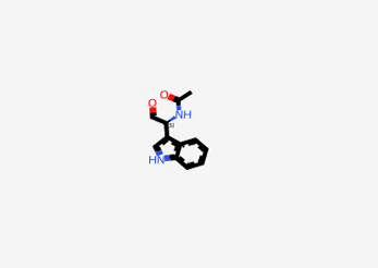 CC(=O)N[C@H](C=O)c1c[nH]c2ccccc12